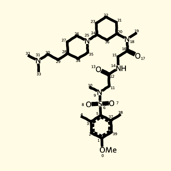 COc1cc(C)c(S(=O)(=O)N(C)CC(=O)NCC(=O)N(C)C2CCCC(N3CCC(CCN(C)C)CC3)C2)c(C)c1